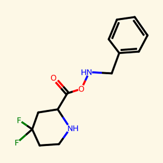 O=C(ONCc1ccccc1)C1CC(F)(F)CCN1